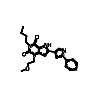 CCCCn1c(=O)c2[nH]c(-c3cnn(-c4ccccc4)c3)cc2n(CCOC)c1=O